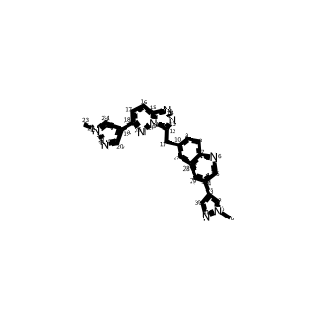 Cn1cc(-c2cnc3ccc(Cc4nnc5ccc(-c6cnn(C)c6)nn45)cc3c2)cn1